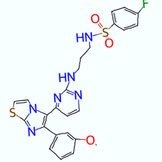 COc1cccc(-c2nc3sccn3c2-c2ccnc(NCCCNS(=O)(=O)c3ccc(F)cc3)n2)c1